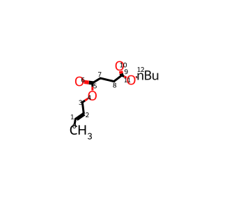 CC=CCOC(=O)CCC(=O)OCCCC